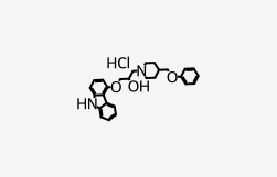 Cl.OC(COc1cccc2[nH]c3ccccc3c12)CN1CCC(COc2ccccc2)CC1